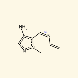 C=C/N=C\c1c(N)cnn1C